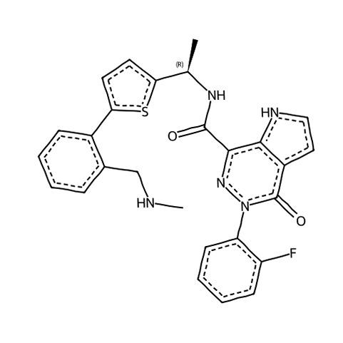 CNCc1ccccc1-c1ccc([C@@H](C)NC(=O)c2nn(-c3ccccc3F)c(=O)c3cc[nH]c23)s1